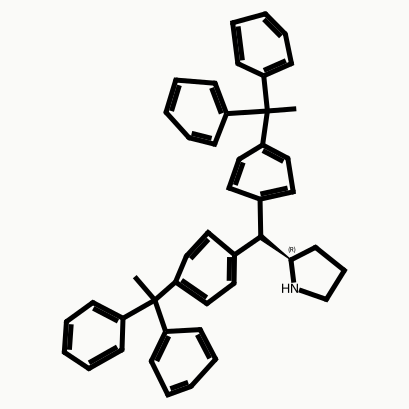 CC(c1ccccc1)(c1ccccc1)c1ccc(C(c2ccc(C(C)(c3ccccc3)c3ccccc3)cc2)[C@H]2CCCN2)cc1